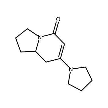 O=C1C=C(N2CCCC2)CC2CCCN12